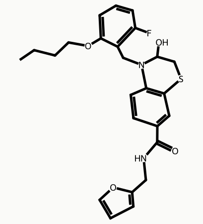 CCCCOc1cccc(F)c1CN1c2ccc(C(=O)NCc3ccco3)cc2SCC1O